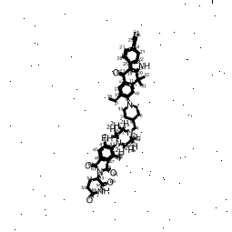 [2H]C1([2H])N(CC2CCN(c3cc4c(cc3CC)C(=O)c3c([nH]c5cc(C#N)ccc35)C4(C)C)CC2)C([2H])([2H])C([2H])([2H])N(c2c(F)cc3c(c2F)C(=O)N(C2CCC(=O)NC2=O)C3=O)C1([2H])[2H]